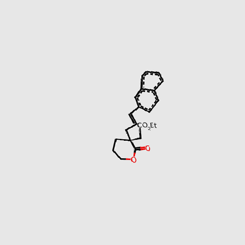 CCOC(=O)C[C@]1(C/C=C/c2ccc3ccccc3c2)CCCOC1=O